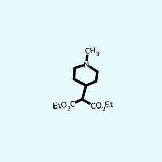 CCOC(=O)C(C(=O)OCC)C1CCN(C)CC1